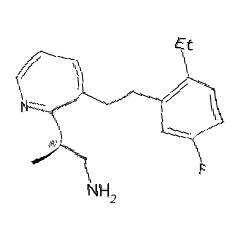 CCc1ccc(F)cc1CCc1cccnc1[C@H](C)CN